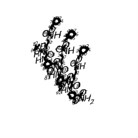 COc1ccc(NC(=O)[C@H](CCCCNC(=O)OCc2ccccc2)NC(=O)c2cc(NC(=O)[C@H](CCCCNC(=O)OCc3ccccc3)NC(=O)c3cc(NC(=O)[C@H](CCCCNC(=O)OCc4ccccc4)NC(=O)OC(C)(C)C)ccc3OC)ccc2OC)cc1C(N)=O